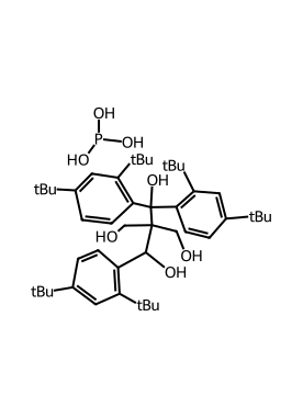 CC(C)(C)c1ccc(C(O)C(CO)(CO)C(O)(c2ccc(C(C)(C)C)cc2C(C)(C)C)c2ccc(C(C)(C)C)cc2C(C)(C)C)c(C(C)(C)C)c1.OP(O)O